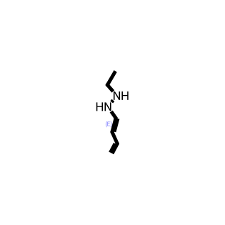 C=C/C=C/NNCC